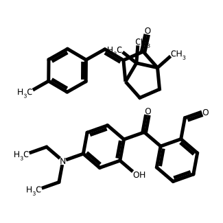 CCN(CC)c1ccc(C(=O)c2ccccc2C=O)c(O)c1.Cc1ccc(C=C2C(=O)C3(C)CCC2C3(C)C)cc1